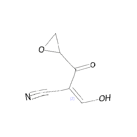 N#C/C(=C/O)C(=O)C1CO1